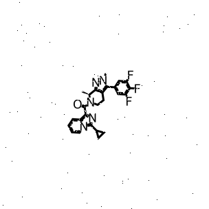 C[C@H]1c2nn(C)c(-c3cc(F)c(F)c(F)c3)c2CCN1C(=O)c1nc(C2CC2)n2ccccc12